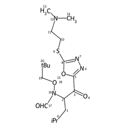 CC(C)CC(C(=O)c1nnc(SCCN(C)C)o1)N(C=O)OCC(C)(C)C